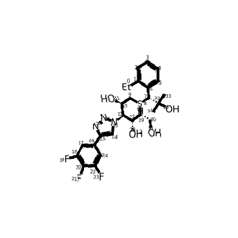 CCc1ccccc1[C@@H]([SH]1C[C@H](O)[C@H](n2cc(-c3cc(F)c(F)c(F)c3)nn2)[C@@H](O)[C@H]1CO)C(C)(C)O